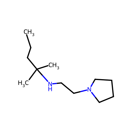 CCCC(C)(C)NCCN1CCCC1